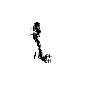 O=C(Nc1cccc(COCCOCCCCCCNCC(O)c2ccc(O)c(CO)c2)c1)c1cccc(NS(=O)(=O)c2ccccc2)c1